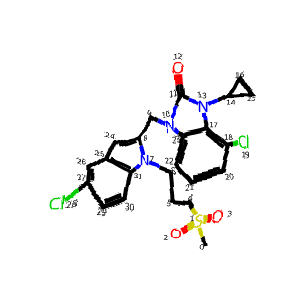 CS(=O)(=O)CCCn1c(Cn2c(=O)n(C3CC3)c3c(Cl)cccc32)cc2cc(Cl)ccc21